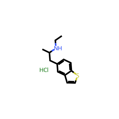 CCNC(C)Cc1ccc2sccc2c1.Cl